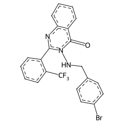 O=c1c2ccccc2nc(-c2ccccc2C(F)(F)F)n1NCc1ccc(Br)cc1